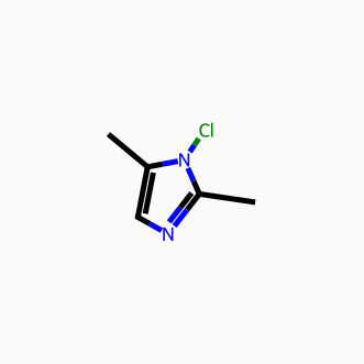 Cc1cnc(C)n1Cl